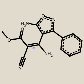 COC(=O)/C(C#N)=C(/N)c1c(-c2ccccc2)noc1N